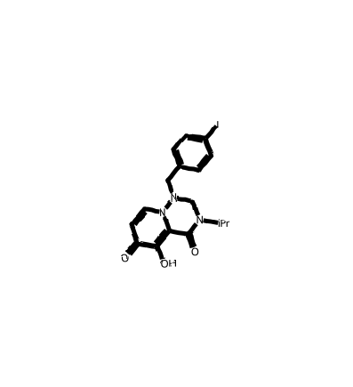 CC(C)N1CN(Cc2ccc(I)cc2)n2ccc(=O)c(O)c2C1=O